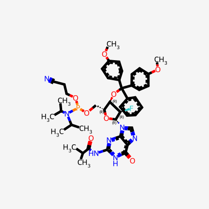 COc1ccc(C(O[C@H]2[C@@H](F)[C@H](n3cnc4c(=O)[nH]c(NC(=O)C(C)C)nc43)O[C@@H]2COP(OCCC#N)N(C(C)C)C(C)C)(c2ccccc2)c2ccc(OC)cc2)cc1